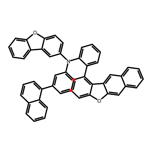 c1cc(-c2cccc3ccccc23)cc(N(c2ccc3oc4ccccc4c3c2)c2ccccc2-c2cccc3oc4cc5ccccc5cc4c23)c1